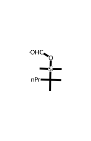 CCCC(C)(C)[Si](C)(C)O[C]=O